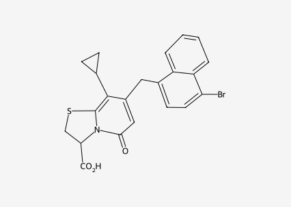 O=C(O)C1CSc2c(C3CC3)c(Cc3ccc(Br)c4ccccc34)cc(=O)n21